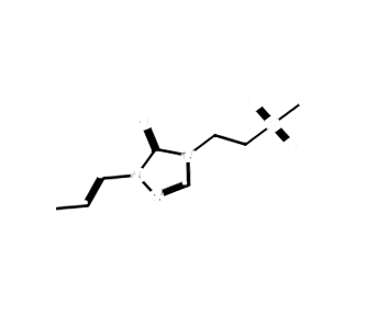 C/C=C/n1ncn(CCS(C)(=O)=O)c1=O